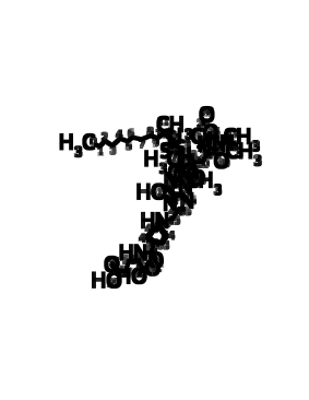 CCCCCCCCCCC(C)SC(=S)SC(C)(CC(CC(CC(C)(C)OC=O)C(=O)NC(C)C)C(=O)Nc1nc(O)c2nc(CNc3ccc(C(=O)NC(CCC(=O)O)C(=O)O)cc3)cnc2n1)C(=O)OC